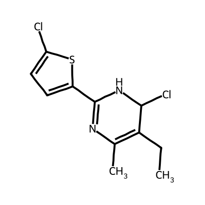 CCC1=C(C)N=C(c2ccc(Cl)s2)NC1Cl